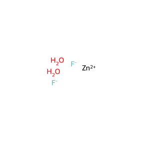 O.O.[F-].[F-].[Zn+2]